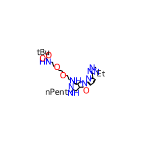 CCCCCNC1=NC(NCCOCCOCCNC(=O)OC(C)(C)C)=C2CN(c3cccc(-c4nncn4CC)n3)C(=O)C2C1